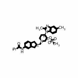 Cc1ccc2c(c1)nc(C)n2[C@@H]1CCN(C[C@@H]2Cc3ccc(NC(=O)C(C)C)cc3C2)C[C@H]1OS(C)(=O)=O